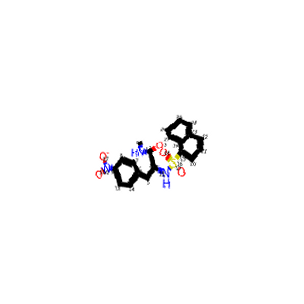 CNC(=O)C(Cc1ccc([N+](=O)[O-])cc1)NS(=O)(=O)c1cccc2ccccc12